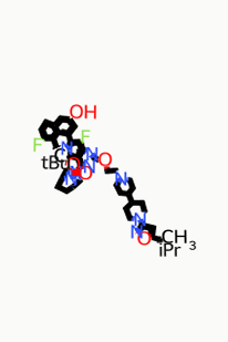 C#Cc1c(F)ccc2cc(O)cc(-c3ncc4c(N5CC6CCC(C5)N6C(=O)OC(C)(C)C)nc(OCCN5CCC(C6CCN(c7cc(C(C)C(C)C)on7)CC6)CC5)nc4c3F)c12